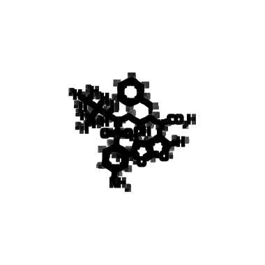 [2H]c1oc2oc([2H])c(N(C(=O)O)[C@@H](Cc3ccccc3)[C@H](O)CN(C([2H])([2H])C([2H])(C([2H])([2H])[2H])C([2H])([2H])[2H])S(=O)(=O)c3ccc(N)cc3)c2c1[2H]